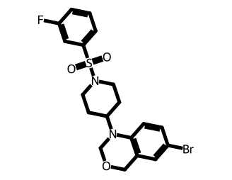 O=S(=O)(c1cccc(F)c1)N1CCC(N2COCc3cc(Br)ccc32)CC1